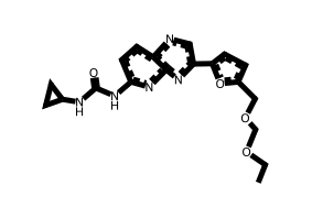 CCOCOCc1ccc(-c2cnc3ccc(NC(=O)NC4CC4)nc3n2)o1